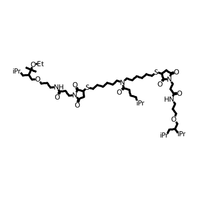 CCOC(C)(C)C(COCCCNC(=O)CCN1C(=O)CC(SCCCCCCN(CCCCCCSC2CC(=O)N(CCC(=O)NCCCOCC(CC(C)C)C(C)C)C2=O)C(=O)CCCC(C)C)C1=O)CC(C)C